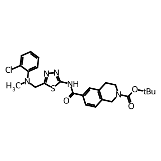 CN(Cc1nnc(NC(=O)c2ccc3c(c2)CCN(C(=O)OC(C)(C)C)C3)s1)c1ccccc1Cl